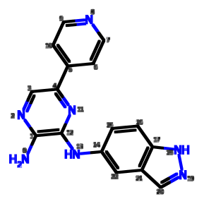 Nc1ncc(-c2ccncc2)nc1Nc1ccc2[nH]ncc2c1